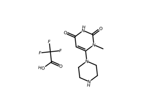 Cn1c(N2CCNCC2)cc(=O)[nH]c1=O.O=C(O)C(F)(F)F